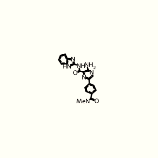 CNC(=O)c1ccc(-c2cnc(N)c(C(=O)Nc3nc4ccccc4[nH]3)n2)cc1